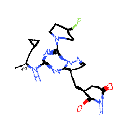 C[C@H](Nc1nc(N2CCC(F)C2)n2ncc(C=C3CC(=O)NC3=O)c2n1)C1CC1